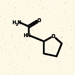 NC(=O)NC1CCCO1